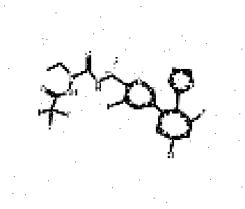 CCN(NC(=O)C(F)(F)F)C(=O)N[C@H](C)c1ncc(-c2cc(Cl)cc(F)c2-c2cccs2)cc1F